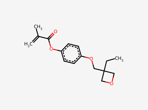 C=C(C)C(=O)Oc1ccc(OCC2(CC)COC2)cc1